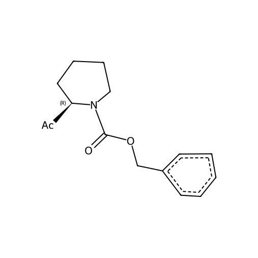 CC(=O)[C@H]1CCCCN1C(=O)OCc1ccccc1